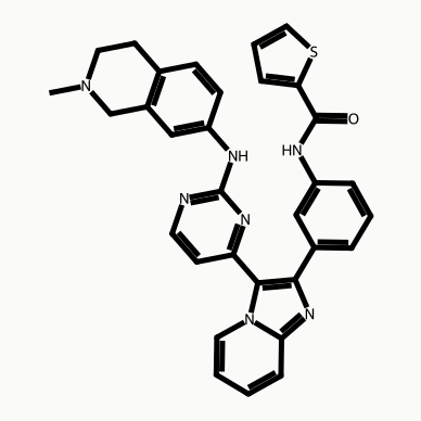 CN1CCc2ccc(Nc3nccc(-c4c(-c5cccc(NC(=O)c6cccs6)c5)nc5ccccn45)n3)cc2C1